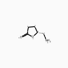 NC[C@H]1CCC(=O)O1